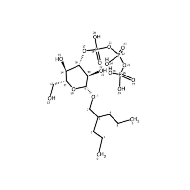 CCCC(CCC)CO[C@@H]1O[C@H](CO)[C@@H](O)[C@H](OP(=O)(O)OP(=O)(O)OP(=O)(O)O)[C@H]1O